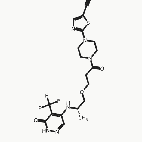 C[C@@H](COCCC(=O)N1CCN(c2ncc(C#N)s2)CC1)Nc1cn[nH]c(=O)c1C(F)(F)F